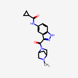 CN1CC2CC1CN2C(=O)c1n[nH]c2ccc(NC(=O)C3CC3)cc12